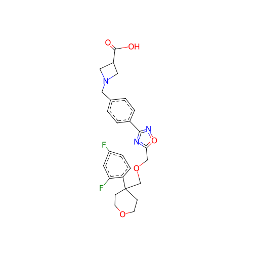 O=C(O)C1CN(Cc2ccc(-c3noc(COCC4(c5ccc(F)cc5F)CCOCC4)n3)cc2)C1